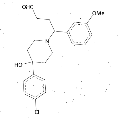 COc1cccc(C(CCC=O)N2CCC(O)(c3ccc(Cl)cc3)CC2)c1